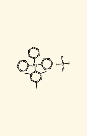 Cc1cc(C)c([As+](c2ccccc2)(c2ccccc2)c2ccccc2)c(C)c1.F[B-](F)(F)F